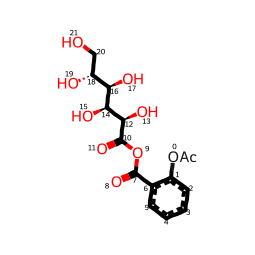 CC(=O)Oc1ccccc1C(=O)OC(=O)[C@H](O)[C@@H](O)[C@H](O)[C@H](O)CO